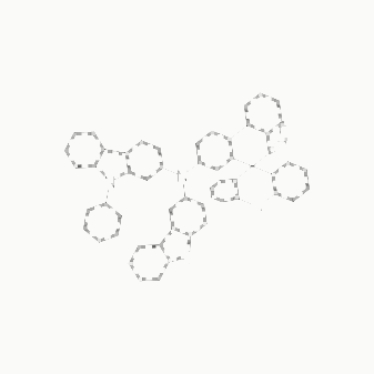 c1ccc(-n2c3ccccc3c3ccc(N(c4ccc5c(c4)C4(c6ccccc6Sc6ccccc64)c4cccc6cccc-5c46)c4ccc5oc6ccccc6c5c4)cc32)cc1